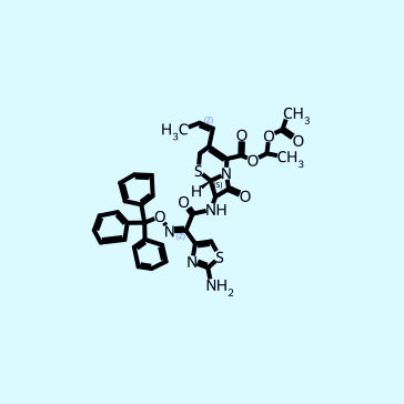 C/C=C\C1=C(C(=O)OC(C)OC(C)=O)N2C(=O)C(NC(=O)/C(=N\OC(c3ccccc3)(c3ccccc3)c3ccccc3)c3csc(N)n3)[C@@H]2SC1